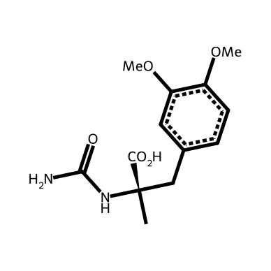 COc1ccc(C[C@](C)(NC(N)=O)C(=O)O)cc1OC